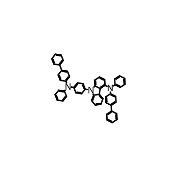 c1ccc(-c2ccc(N(c3ccccc3)c3ccc(-n4c5ccccc5c5c(N(c6ccccc6)c6ccc(-c7ccccc7)cc6)cccc54)cc3)cc2)cc1